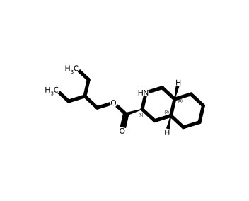 CCC(CC)COC(=O)[C@@H]1C[C@H]2CCCC[C@H]2CN1